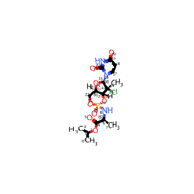 CC(C)OC(=O)[C@H](C)NP1(=O)OC[C@H]2O[C@@H](n3ccc(=O)[nH]c3=O)[C@](C)(Cl)[C@@H]2O1